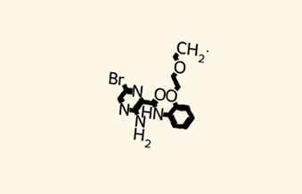 [CH2]COCCOc1ccccc1NC(=O)c1nc(Br)cnc1N